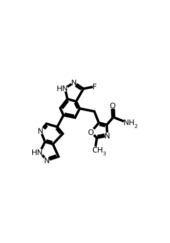 Cc1nc(C(N)=O)c(Cc2cc(-c3cnc4[nH]ncc4c3)cc3[nH]nc(F)c23)o1